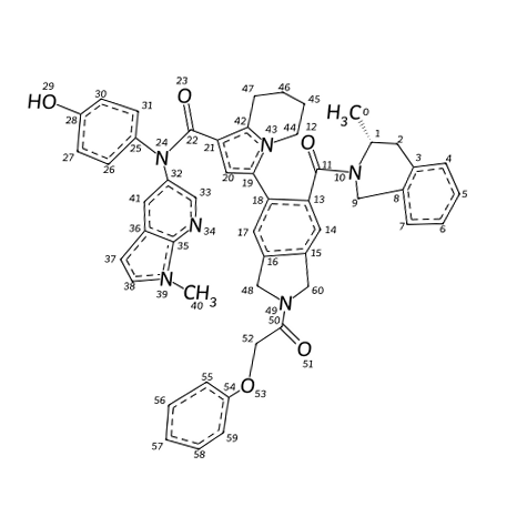 C[C@@H]1Cc2ccccc2CN1C(=O)c1cc2c(cc1-c1cc(C(=O)N(c3ccc(O)cc3)c3cnc4c(ccn4C)c3)c3n1CCCC3)CN(C(=O)COc1ccccc1)C2